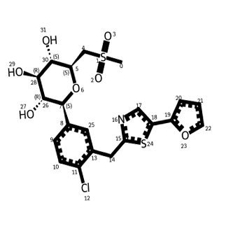 CS(=O)(=O)C[C@H]1O[C@@H](c2ccc(Cl)c(Cc3ncc(-c4ccco4)s3)c2)[C@H](O)[C@@H](O)[C@@H]1O